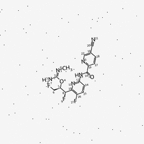 C/N=C(/N)O[C@H](CF)[C@H](F)c1nc(NC(=O)c2ccc(C#N)cn2)ccc1F